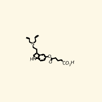 C=CCN(CC=C)CCc1c[nH]c2ccc(OC(=O)CCCC(=O)O)cc12